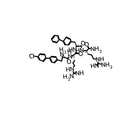 N=C(N)NCCC[C@H](NC(=O)[C@H](Cc1ccc(-c2ccccc2)cc1)NC(=O)[C@H](CCCNC(=N)N)NC(=O)[C@@H](N)Cc1ccc(-c2ccc(Cl)cc2)cc1)C(N)=O